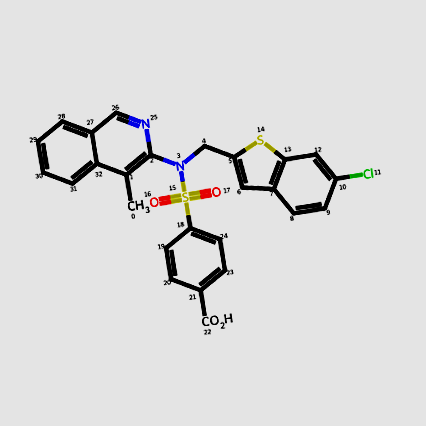 Cc1c(N(Cc2cc3ccc(Cl)cc3s2)S(=O)(=O)c2ccc(C(=O)O)cc2)ncc2ccccc12